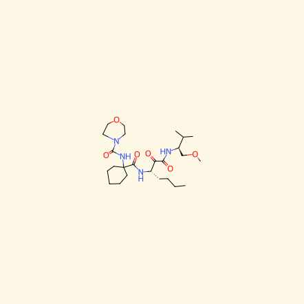 CCCC[C@H](NC(=O)C1(NC(=O)N2CCOCC2)CCCCC1)C(=O)C(=O)N[C@H](COC)C(C)C